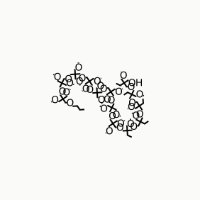 CCCCOCC(COC)(COC)COCC(COC)(COC)COCC(COC)(COC)COCC(COC)(COC)COCC(COC)(COC)COCC(COC)(COC)COCC(COC)(COC)COCC(COC)(COC)COCC(CC)(COC)COCC(CC)(COC)COCC(CC)(COC)COCC(CC)(COC)COCC(CC)(CO)COC